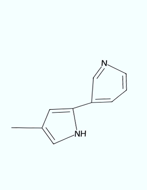 Cc1c[nH]c(-c2cccnc2)c1